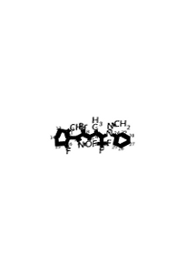 C=NN(/C(=C(\C)c1onc(-c2c(C)cccc2F)c1Br)C(F)(F)F)c1ccccc1